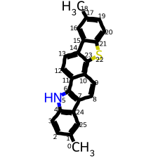 Cc1ccc2[nH]c3c(ccc4c3ccc3c5cc(C)ccc5sc34)c2c1